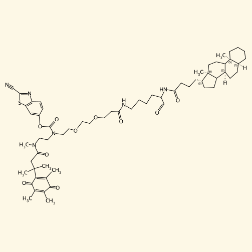 CC1=C(C)C(=O)C(C(C)(C)CC(=O)N(C)CCN(CCOCCOCCC(=O)NCCCCC(C=O)NC(=O)CCC[C@H]2CCC3[C@@H]4CC[C@@H]5CCCC[C@]5(C)C4CC[C@@]32C)C(=O)Oc2ccc3nc(C#N)sc3c2)=C(C)C1=O